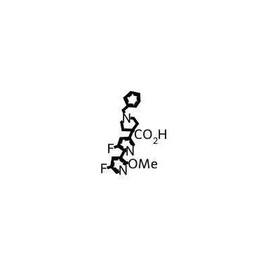 COc1ncc(F)cc1-c1ncc(C2(C(=O)O)CCN(Cc3ccccc3)CC2)cc1F